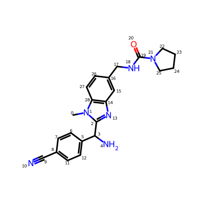 Cn1c(C(N)c2ccc(C#N)cc2)nc2cc(CNC(=O)N3CCCC3)ccc21